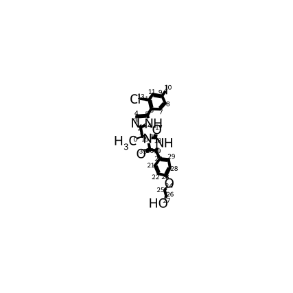 C[C@@H](c1ncc(-c2ccc(I)cc2Cl)[nH]1)N1C(=O)NC(c2ccc(OCCO)cc2)C1=O